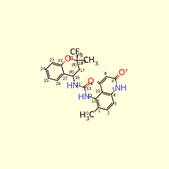 Cc1ccc2[nH]c(=O)ccc2c1NC(=O)N[C@@H]1C[C@](C)(C(F)(F)F)Oc2ccccc21